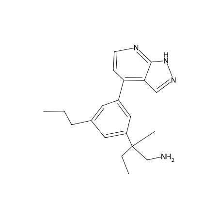 CCCc1cc(-c2ccnc3[nH]ncc23)cc(C(C)(CC)CN)c1